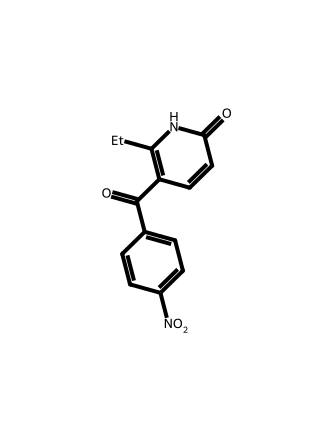 CCc1[nH]c(=O)ccc1C(=O)c1ccc([N+](=O)[O-])cc1